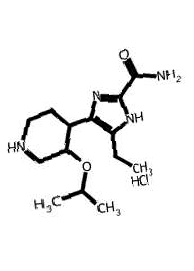 CCc1[nH]c(C(N)=O)nc1C1CCNCC1OC(C)C.Cl